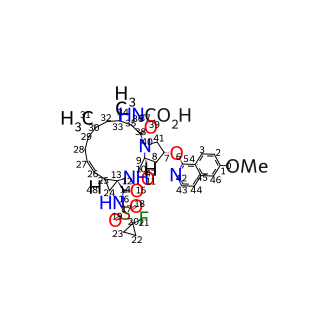 COc1ccc2c(O[C@@H]3C[C@H]4C(=O)N[C@]5(C(=O)NS(=O)(=O)C6(F)CC6)C[C@H]5C=CCC[C@H](C)C[C@@H](C)[C@H](NC(=O)O)C(=O)N4C3)nccc2c1